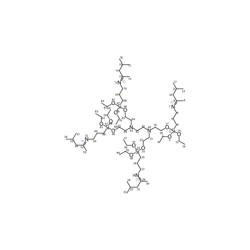 CCO[Si](CCC/N=C(\C)CC(C)C)(OCC)OCCN(CCO[Si](CCC/N=C(\C)CC(C)C)(OCC)OCC)CCN(CCO[Si](CCC/N=C(\C)CC(C)C)(OCC)OCC)CCO[Si](CCC/N=C(\C)CC(C)C)(OCC)OCC